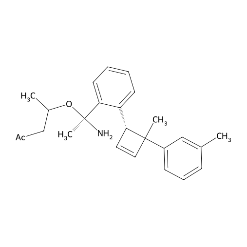 CC(=O)CC(C)O[C@](C)(N)c1ccccc1[C@H]1C=CC1(C)c1cccc(C)c1